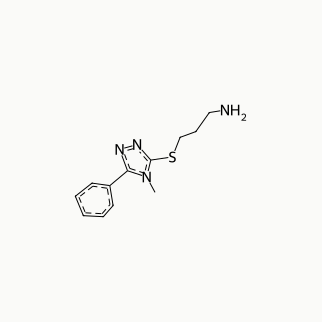 Cn1c(SCCCN)nnc1-c1ccccc1